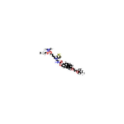 CC(C)N(C(C)C)P(OCCC#N)OCCCCCN(CCNC(=O)Oc1ccc2c(c1)CC[C@@H]1[C@@H]2CC[C@]2(C)[C@@H](OCCCOC(C(F)(F)F)(C(F)(F)F)C(F)(F)F)CC[C@@H]12)C1CCSSC1